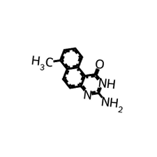 Cc1cccc2c1ccc1nc(N)[nH]c(=O)c12